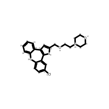 Clc1ccc2c(c1)-c1sc(COCCN3CCOCC3)cc1-c1ccccc1S2